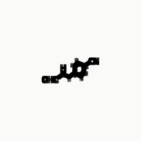 N#Cc1ccc(CNC=O)cc1